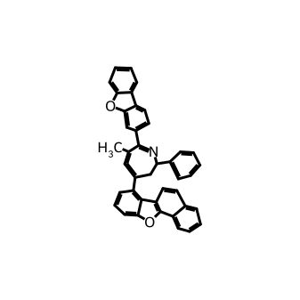 CC1=C=C(c2cccc3oc4c5ccccc5ccc4c23)CC(c2ccccc2)N=C1c1ccc2c(c1)oc1ccccc12